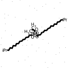 C=C(C)[C](=O)[Ti](=[O])([O]C(=O)CCCCCCCCCCCCCCC(C)C)[O]C(=O)CCCCCCCCCCCCCCC(C)C